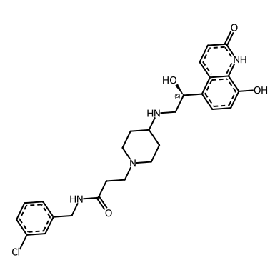 O=C(CCN1CCC(NC[C@@H](O)c2ccc(O)c3[nH]c(=O)ccc23)CC1)NCc1cccc(Cl)c1